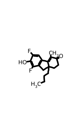 CCCCC12CCC(=O)C(C)=C1c1cc(F)c(O)c(F)c1C2